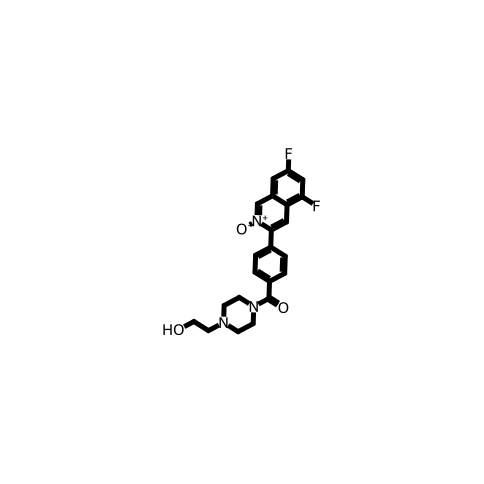 O=C(c1ccc(-c2cc3c(F)cc(F)cc3c[n+]2[O-])cc1)N1CCN(CCO)CC1